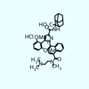 COc1cccc(OC)c1-c1cc(C(=O)NC2(C(=O)O)C3CC4CC(C3)CC2C4)nn1-c1ccc(C(=O)N(C)CCN(C)C)c2ccccc12.Cl